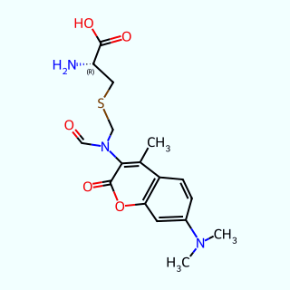 Cc1c(N(C=O)CSC[C@H](N)C(=O)O)c(=O)oc2cc(N(C)C)ccc12